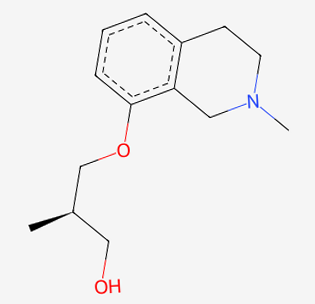 C[C@H](CO)COc1cccc2c1CN(C)CC2